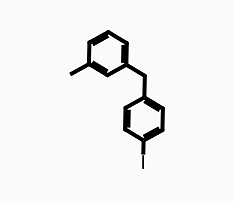 Cc1cccc(Cc2ccc(I)cc2)c1